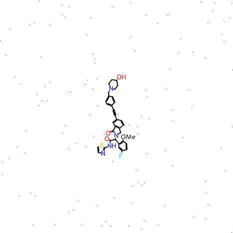 COc1ccc(F)cc1C(C(=O)Nc1nccs1)N1Cc2ccc(C#Cc3ccc(CN4CCC(O)CC4)cc3)cc2C1=O